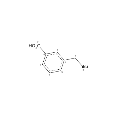 CCC(C)Cc1cccc(C(=O)O)c1